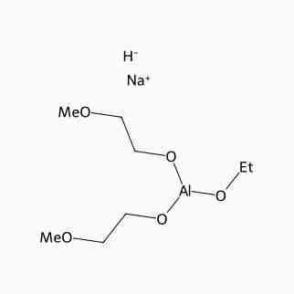 CC[O][Al]([O]CCOC)[O]CCOC.[H-].[Na+]